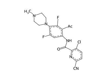 CC(=O)c1c(NC(=O)c2nc(C#N)ccc2Cl)cc(F)c(N2CCN(C)CC2)c1F